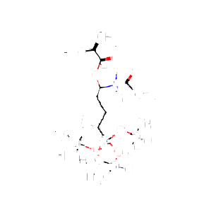 C=C(C)C(=O)OC(CCC[Si](O[Si](C)(C)C)(O[Si](C)(C)C)O[Si](C)(C)C)[N+](C)(C)C(C)=O